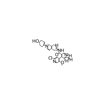 [2H]C([2H])([2H])c1cc(-c2cc(Cl)ncc2OC)c(C(=O)N[SH]2CCC3=C(C=CN(C4=CCC(O)CC4)C3)C2)cn1